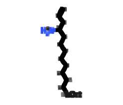 C=CCC(N)CCCCCCCCCCCCCCCC